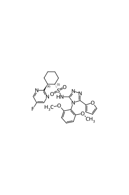 COc1cccc(OC)c1-n1c(NS(=O)(=O)[C@H]2CCCC[C@@H]2c2ncc(F)cn2)nnc1-c1ccco1